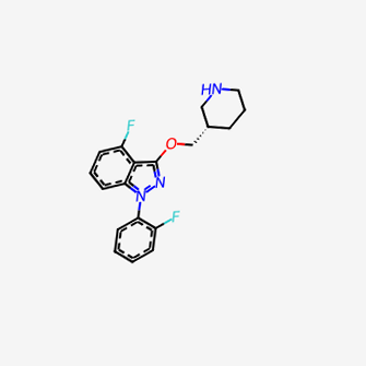 Fc1ccccc1-n1nc(OC[C@H]2CCCNC2)c2c(F)cccc21